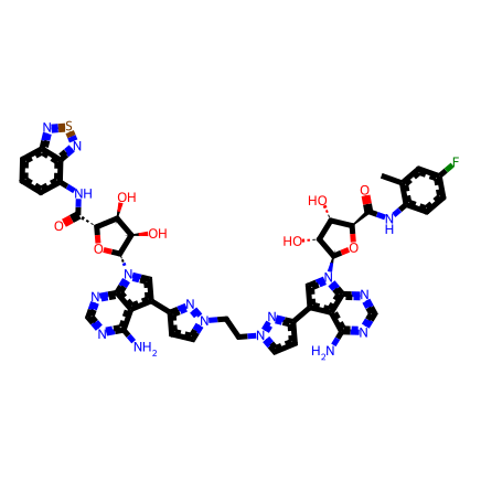 Cc1cc(F)ccc1NC(=O)[C@H]1O[C@@H](n2cc(-c3ccn(CCn4ccc(-c5cn([C@@H]6O[C@H](C(=O)Nc7cccc8nsnc78)[C@@H](O)[C@H]6O)c6ncnc(N)c56)n4)n3)c3c(N)ncnc32)[C@H](O)[C@@H]1O